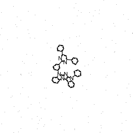 c1ccc(-c2cc(-c3ccccc3)nc(-c3cccc(-n4c5ccccc5n5c6c7ccccc7n(-c7ccccc7)c6nc45)c3)n2)cc1